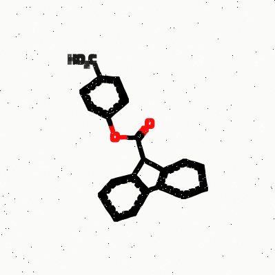 O=C(O)c1ccc(OC(=O)C2c3ccccc3-c3ccccc32)cc1